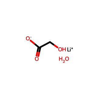 O.O=C([O-])CO.[Li+]